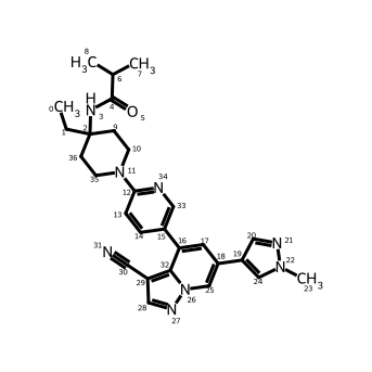 CCC1(NC(=O)C(C)C)CCN(c2ccc(-c3cc(-c4cnn(C)c4)cn4ncc(C#N)c34)cn2)CC1